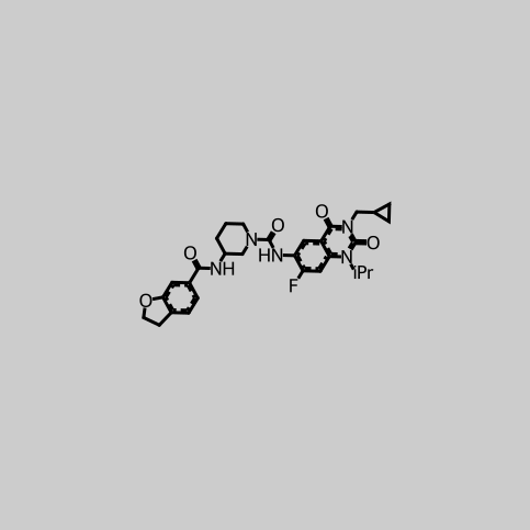 CC(C)n1c(=O)n(CC2CC2)c(=O)c2cc(NC(=O)N3CCCC(NC(=O)c4ccc5c(c4)OCC5)C3)c(F)cc21